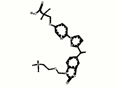 COC(=O)C(C)(C)COc1ccc(-n2ccc(C(C)c3ccc4c(c3)sc(=O)n4COCC[Si](C)(C)C)n2)nc1